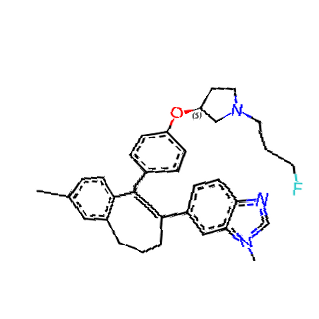 Cc1ccc2c(c1)CCCC(c1ccc3ncn(C)c3c1)=C2c1ccc(O[C@H]2CCN(CCCF)C2)cc1